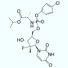 CC(C)OC(=O)[C@H](C)NP(=O)(OC[C@H]1O[C@@H](n2ccc(=O)[nH]c2=O)[C@](C)(F)[C@@H]1O)Oc1ccc(Cl)cc1